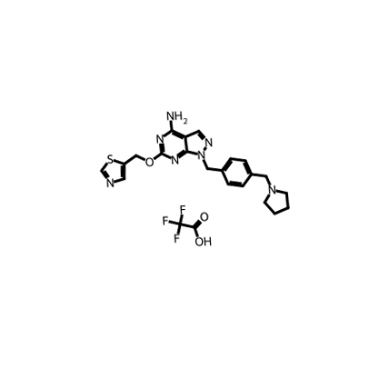 Nc1nc(OCc2cncs2)nc2c1cnn2Cc1ccc(CN2CCCC2)cc1.O=C(O)C(F)(F)F